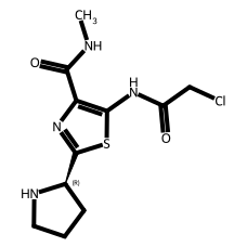 CNC(=O)c1nc([C@H]2CCCN2)sc1NC(=O)CCl